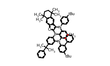 Cc1cc2c3c(c1)N(c1ccc(C(C)(C)C)cc1)c1c(oc4cc5c(cc14)C(C)(C)CCC5(C)C)B3c1ccc(C(C)(C)c3ccccc3)cc1N2c1ccc(C(C)(C)C)cc1-c1ccccc1